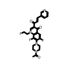 CC(=O)N1CCN(c2c(F)cc3c(=O)c(C(=O)C=Cc4cccnc4)cn(CCF)c3c2F)CC1